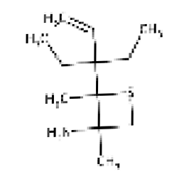 C=CC(CC)(CC)C1(C)SCC1(C)N